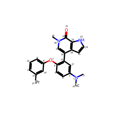 CC(=O)N(C)c1ccc(Oc2cccc(C(C)C)c2)c(-c2cn(C)c(=O)c3[nH]ccc23)c1